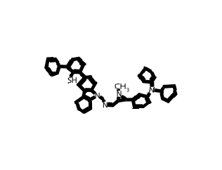 CN1C(/C=N\Cn2c3c(c4cc(-c5cccc(C6C=CC=CC6)c5S)ccc42)CCC=C3)C1c1cccc(N(C2=CCCC=C2)C2CC=CCC2)c1